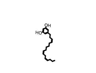 CCC/C=C\C/C=C\CCCC/C=C\CCc1cc(O)cc(O)c1